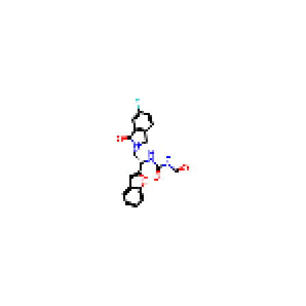 O=CNC(=O)N[C@@H](CN1Cc2ccc(F)cc2C1=O)c1cc2ccccc2o1